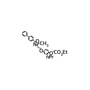 CCCc1cc(OCCc2nc(-c3ccc(-c4ccccc4)cc3)oc2C)ccc1OCC(=O)OCC